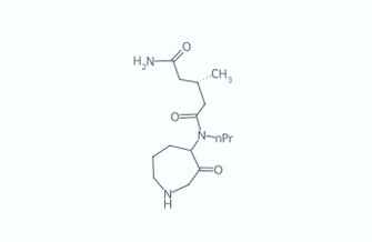 CCCN(C(=O)C[C@@H](C)CC(N)=O)C1CCCNCC1=O